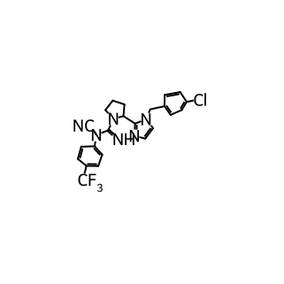 N#CN(C(=N)N1CCCC1c1nccn1Cc1ccc(Cl)cc1)c1ccc(C(F)(F)F)cc1